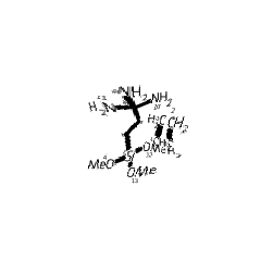 C=C.C=C.CO[Si](CCC(N)(N)N)(OC)OC